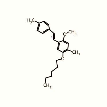 CCCCCCOc1cc(/C=C/c2ccc(C)cc2)c(OC)cc1C